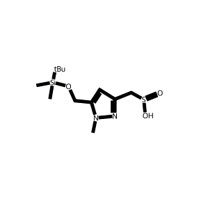 Cn1nc(CS(=O)O)cc1CO[Si](C)(C)C(C)(C)C